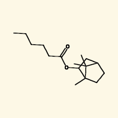 CCCCCC(=O)OC1CC2CCC1(C)C2(C)C